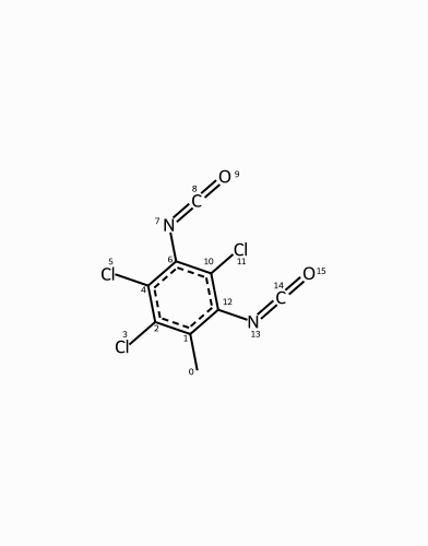 Cc1c(Cl)c(Cl)c(N=C=O)c(Cl)c1N=C=O